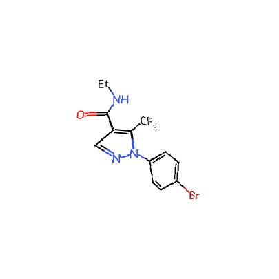 CCNC(=O)c1cnn(-c2ccc(Br)cc2)c1C(F)(F)F